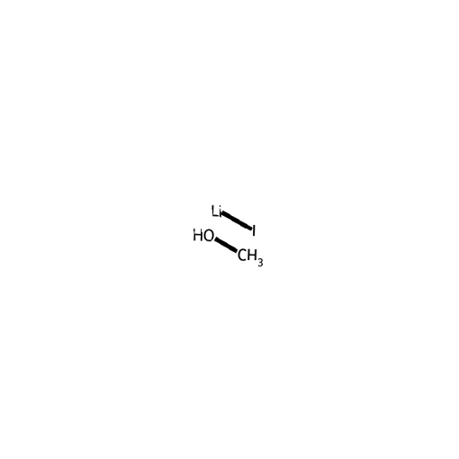 CO.[Li][I]